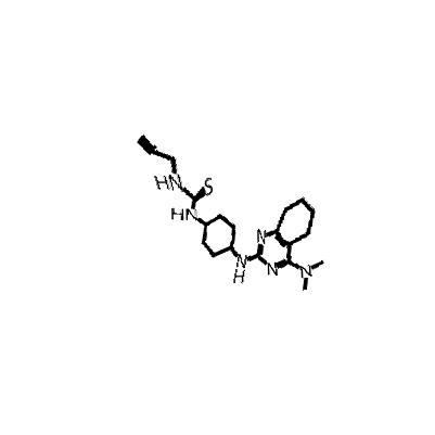 C#CCNC(=S)NC1CCC(Nc2nc3c(c(N(C)C)n2)CCCC3)CC1